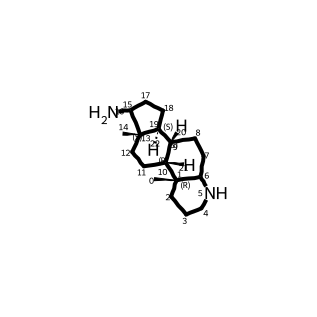 C[C@]12CCCNC1CC[C@@H]1[C@H]2CC[C@]2(C)C(N)CC[C@@H]12